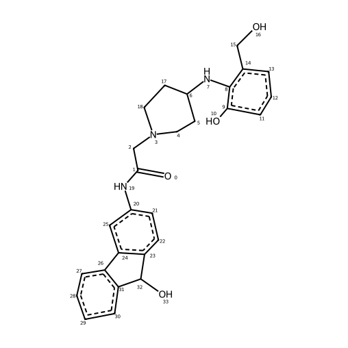 O=C(CN1CCC(Nc2c(O)cccc2CO)CC1)Nc1ccc2c(c1)-c1ccccc1C2O